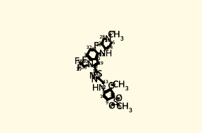 COc1cc(S(C)(=O)=O)ccc1NCc1nnc(-c2cc3c(N[C@@H]4CCN(C)C[C@H]4F)cccc3n2CC(F)(F)F)s1